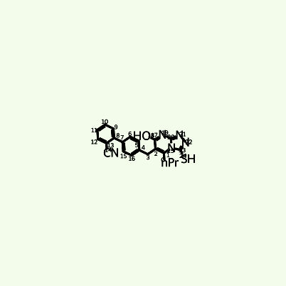 CCCc1c(Cc2ccc(-c3ccccc3C#N)cc2)c(O)nc2nnc(S)n12